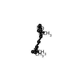 CCOc1cc2c(=O)n3c4ccccc4nc3c3cccc(c1N=Nc1ccc(C=Cc4ccc(C=Cc5ccc(N=Nc6c(OCC)c(C)cc7ccccc67)cc5)cc4)cc1)c23